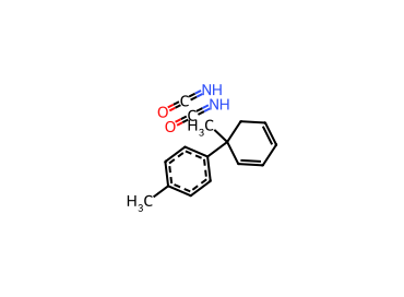 Cc1ccc(C2(C)C=CC=CC2)cc1.N=C=O.N=C=O